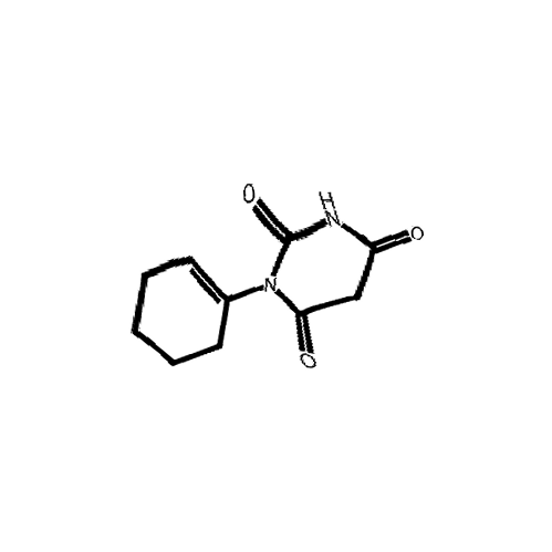 O=C1CC(=O)N(C2=CCCCC2)C(=O)N1